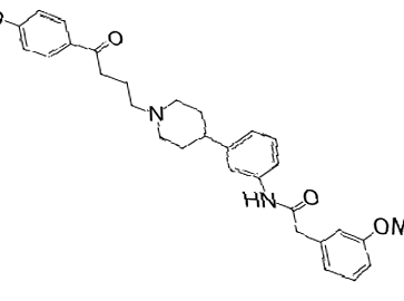 COc1cccc(CC(=O)Nc2cccc(C3CCN(CCCC(=O)c4ccc(O)cc4)CC3)c2)c1